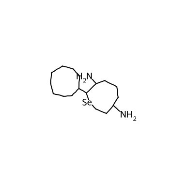 NC1CCCC(N)C(C2CCCCCCCC2)[Se]CC1